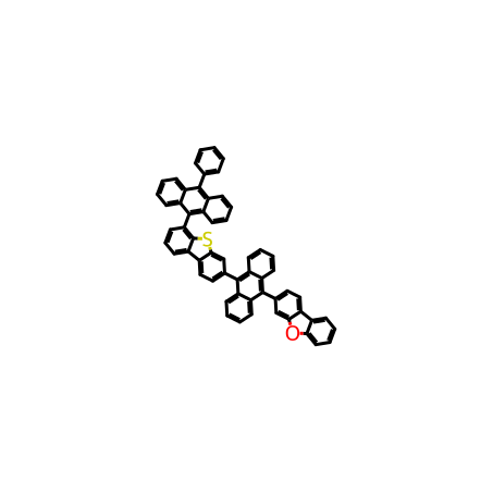 c1ccc(-c2c3ccccc3c(-c3cccc4c3sc3cc(-c5c6ccccc6c(-c6ccc7c(c6)oc6ccccc67)c6ccccc56)ccc34)c3ccccc23)cc1